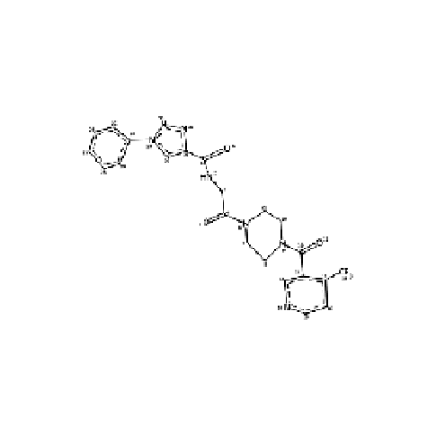 O=C(NCC(=O)N1CCN(C(=O)c2cnccc2C(F)(F)F)CC1)c1cn(-c2ccccc2)nn1